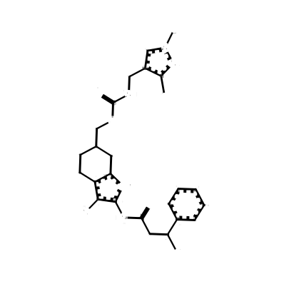 Cc1nn(C)cc1CNC(=O)OCC1CCc2c(sc(NC(=O)CC(C)c3ccccc3)c2N)C1